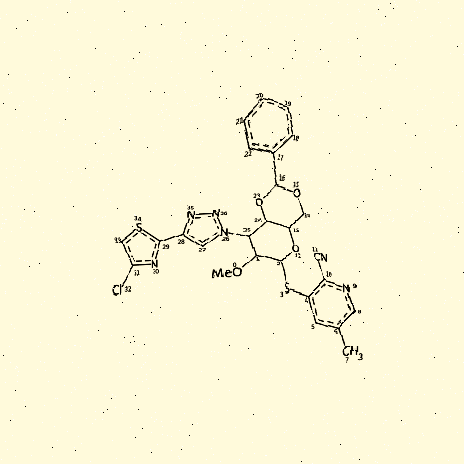 COC1C(Sc2cc(C)cnc2C#N)OC2COC(c3ccccc3)OC2C1n1cc(-c2nc(Cl)cs2)nn1